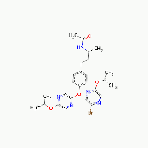 CC(=O)NC(C)CCc1ccc(Oc2cnc(OC(C)C)cn2)cc1.CC(C)Oc1cnc(Br)cn1